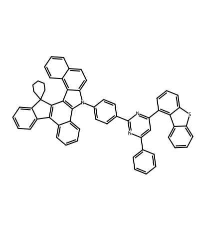 c1ccc(-c2cc(-c3cccc4sc5ccccc5c34)nc(-c3ccc(-n4c5ccc6ccccc6c5c5c6c(c7ccccc7c54)-c4ccccc4C64CCCCC4)cc3)n2)cc1